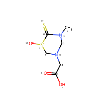 CN1CN(CC(=O)O)C[S+]([O-])C1=S